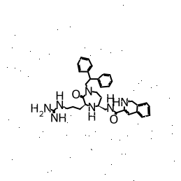 N=C(N)NCCC[C@@H]1N[C@H](CNC(=O)C2=Cc3ccccc3CN2)CCN(CC(c2ccccc2)c2ccccc2)C1=O